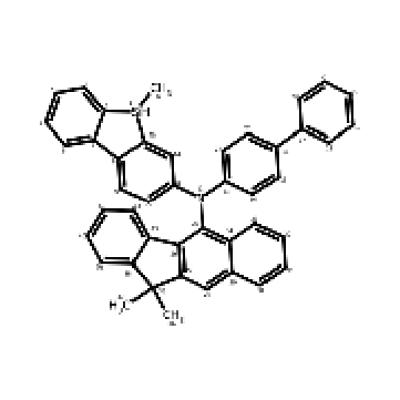 C[SiH]1c2ccccc2-c2ccc(N(c3ccc(-c4ccccc4)cc3)c3c4c(cc5ccccc35)C(C)(C)c3ccccc3-4)cc21